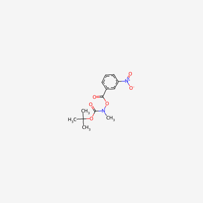 CN(OC(=O)c1cccc([N+](=O)[O-])c1)C(=O)OC(C)(C)C